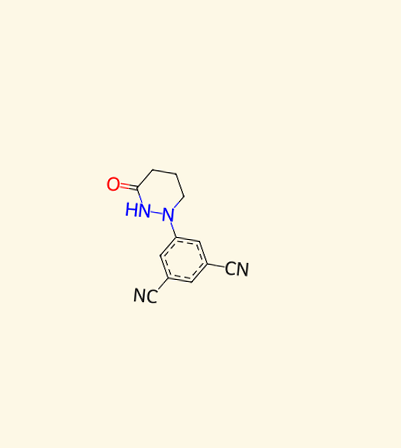 N#Cc1cc(C#N)cc(N2CCCC(=O)N2)c1